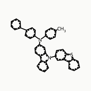 Cc1ccc(N(c2ccc(-c3ccccc3)cc2)c2ccc3c4ccccc4n(-c4ccc5sc6ccccc6c5c4)c3c2)cc1